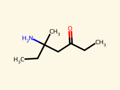 CCC(=O)CC(C)(N)CC